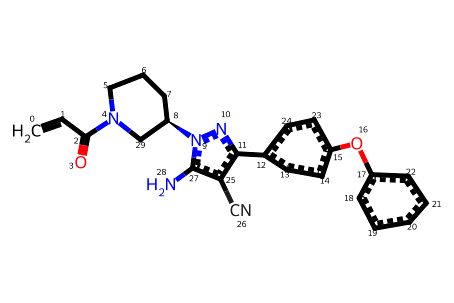 C=CC(=O)N1CCC[C@@H](n2nc(-c3ccc(Oc4ccccc4)cc3)c(C#N)c2N)C1